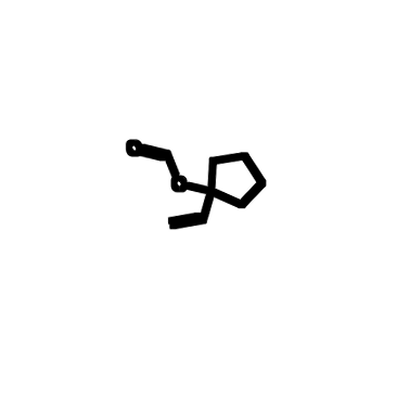 C=CC1(OC=O)CCCC1